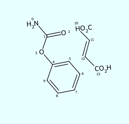 NC(=O)Oc1ccccc1.O=C(O)/C=C/C(=O)O